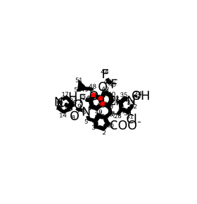 O=C([O-])c1ccc(CN(C(=O)O[C@H]2CN3CCC2CC3)c2ccccc2F)cc1[C@@H](Cc1c(Cl)c[n+](O)cc1Cl)c1ccc(OC(F)F)c(OCC2CC2)c1